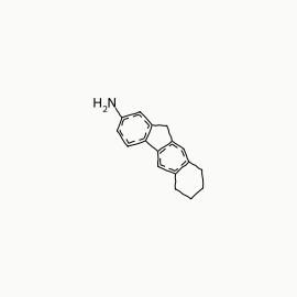 Nc1ccc2c(c1)Cc1cc3c(cc1-2)CCCC3